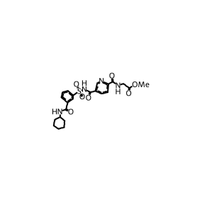 COC(=O)CNC(=O)c1ccc(C(=O)NS(=O)(=O)c2cccc(C(=O)NC3CCCCC3)c2)cn1